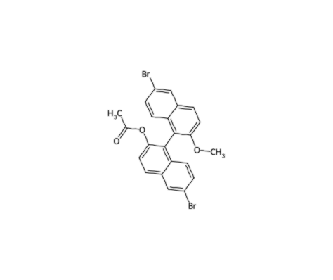 COc1ccc2cc(Br)ccc2c1-c1c(OC(C)=O)ccc2cc(Br)ccc12